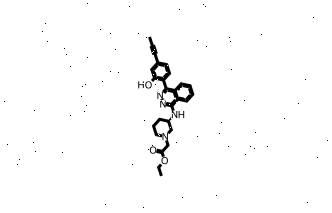 CC#Cc1ccc(-c2nnc(N[C@@H]3CCCN(CC(=O)OCC)C3)c3ccccc23)c(O)c1